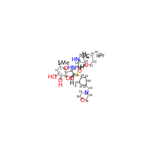 CSC1C[C@H](O)C(O)C(O)[C@@H]([C@H](NC(=O)[C@H]2NC[C@@H]3C[C@H](CC(C)C)CCO[C@H]32)[C@H](C)Sc2ccc(CN3CCOCC3)cc2)O1